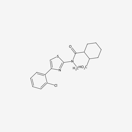 CN(C(=O)C1CCCCC1C(=O)O)c1nc(-c2ccccc2Cl)cs1